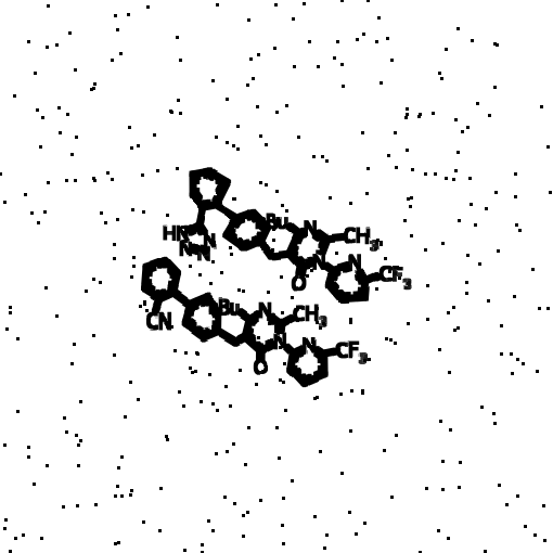 CCCCc1nc(C)n(-c2cccc(C(F)(F)F)n2)c(=O)c1Cc1ccc(-c2ccccc2-c2nnn[nH]2)cc1.CCCCc1nc(C)n(-c2cccc(C(F)(F)F)n2)c(=O)c1Cc1ccc(-c2ccccc2C#N)cc1